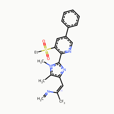 C=N/C(=C\c1nc(-c2ncc(-c3ccccc3)cc2S(=O)(=O)CC)n(C)c1C)C(F)(F)F